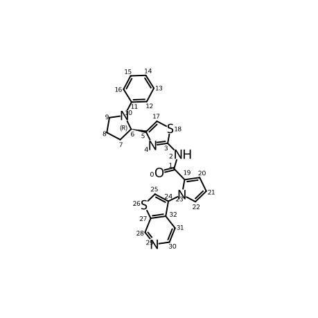 O=C(Nc1nc([C@H]2CCCN2c2ccccc2)cs1)c1cccn1-c1csc2cnccc12